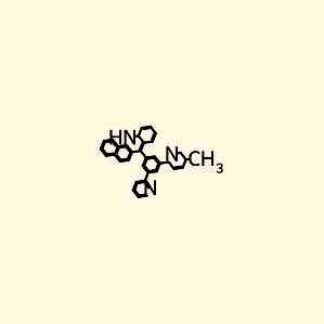 CC1C=CC(c2cc(C3=C4C=CC=CC4Nc4c3ccc3ccccc43)cc(-c3ccccn3)c2)=NC1